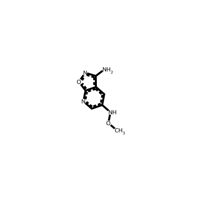 CONc1cnc2onc(N)c2c1